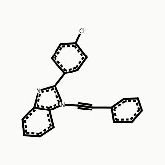 Clc1ccc(-c2nc3ccccc3n2C#Cc2ccccc2)cc1